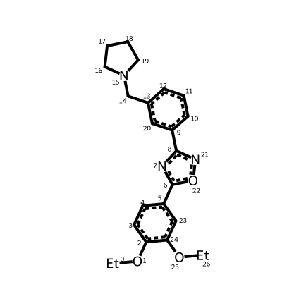 CCOc1ccc(-c2nc(-c3cccc(CN4CCCC4)c3)no2)cc1OCC